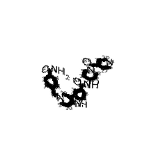 NC(=O)c1ccc(CN2CCc3[nH]c4ccc(C(=O)NC5CCN(C(=O)c6ccncc6)CC5)cc4c3C2)cc1